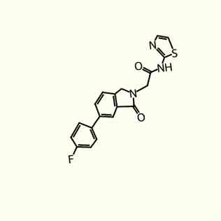 O=C(CN1Cc2ccc(-c3ccc(F)cc3)cc2C1=O)Nc1nccs1